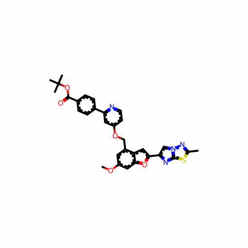 COc1cc(COc2ccnc(-c3ccc(C(=O)OC(C)(C)C)cc3)c2)c2cc(-c3cn4nc(C)sc4n3)oc2c1